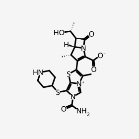 Cc1c(C2=C(C(=O)[O-])N3C(=O)[C@H]([C@@H](C)O)[C@H]3[C@H]2C)sc2c(SC3CCNCC3)n(C(N)=O)c[n+]12